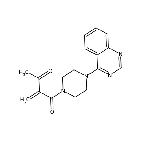 C=C(C(C)=O)C(=O)N1CCN(c2ncnc3ccccc23)CC1